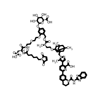 Cc1c(-c2ccc(-c3ccc4c(c3)N(C(=O)Nc3nc5ccccc5s3)CCC4)nc2C(=O)O)cnn1CC12CC3(C)CC(C)(C1)CC(OCCN(C)C(=O)OCc1ccc(O[C@@H]4O[C@H](C(=O)O)[C@@H](O)[C@H](O)[C@H]4O)cc1OCCOCCNC(=O)[C@H](CS(=O)(=O)O)NC(=O)CCCCCN1C(=O)C=CC1=O)(C3)C2